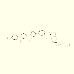 CCCCCc1ccc(C(F)(F)Oc2ccc(-c3ccc(-c4ccc(-c5ccc(OC(F)(F)F)cc5)c(F)c4)c(F)c3)c(F)c2)c(F)c1